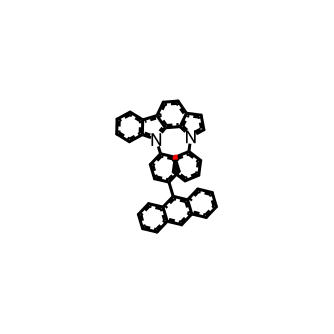 c1ccc(-n2ccc3ccc4c5ccccc5n(-c5ccc(-c6c7ccccc7cc7ccccc67)cc5)c4c32)cc1